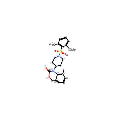 COc1cccc(OC)c1S(=O)(=O)N1CCC(N2C(=O)OCc3cccc(C)c32)CC1